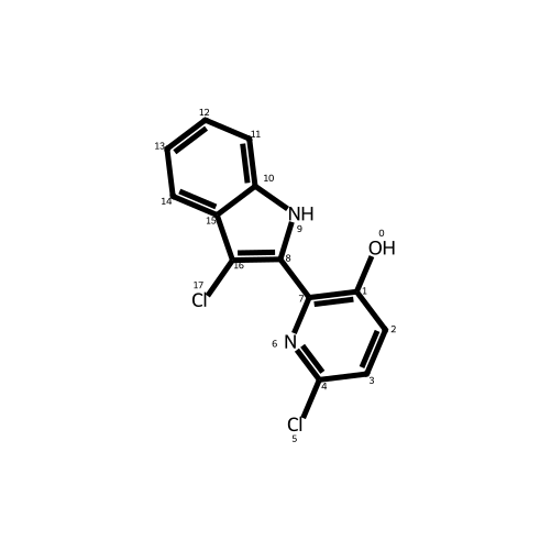 Oc1ccc(Cl)nc1-c1[nH]c2ccccc2c1Cl